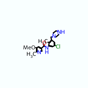 COc1cc(C(=O)Nc2cc(Cl)cc(CN3CCNCC3)c2C)cnc1C